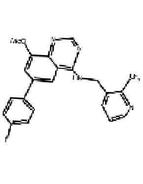 COc1cc(-c2ccc(F)cc2)cc2c(NCc3cccnc3C(F)(F)F)ncnc12